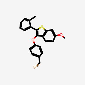 COc1ccc2c(Oc3ccc(CBr)cc3)c(-c3ccccc3C)sc2c1